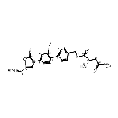 CC(=O)NC[C@H]1CN(c2ccc(-c3ccc(CNC(=O)[C@@H](N)CC(N)=O)cc3)c(F)c2)C(=O)O1